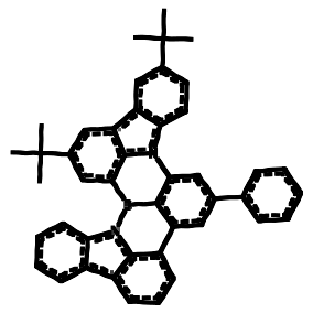 CC(C)(C)c1ccc2c(c1)c1cc(C(C)(C)C)cc3c1n2-c1cc(-c2ccccc2)cc2c1B3n1c3ccccc3c3cccc-2c31